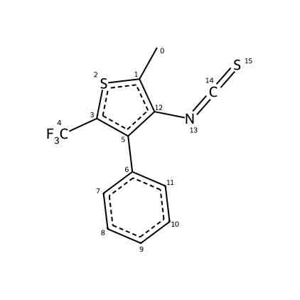 Cc1sc(C(F)(F)F)c(-c2ccccc2)c1N=C=S